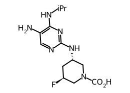 CC(C)Nc1nc(N[C@H]2C[C@H](F)CN(C(=O)O)C2)ncc1N